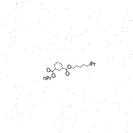 CCCOC(=O)C1CCCC(C(=O)OCCCCCC(C)C)C1